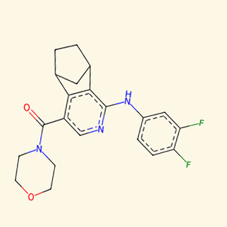 O=C(c1cnc(Nc2ccc(F)c(F)c2)c2c1C1CCC2C1)N1CCOCC1